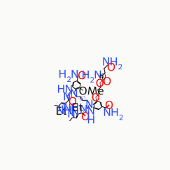 CCN/C(=C\C(C)=N)C(=O)/N=c1/[nH]c2cc(C(N)=O)cc(OC)c2n1C/C=C/Cn1/c(=N/C(=O)c2cc(C)nn2CC)[nH]c2cc(C(N)=O)cc(OCCCOC(=O)[C@@H](N)CCC(N)=O)c21